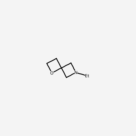 CCN1CC2(CCO2)C1